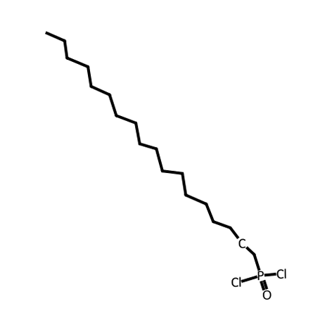 CCCCCCCCCCCCCCCCCCP(=O)(Cl)Cl